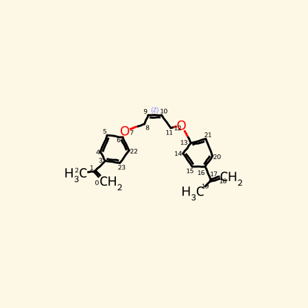 C=C(C)c1ccc(OC/C=C\COc2ccc(C(=C)C)cc2)cc1